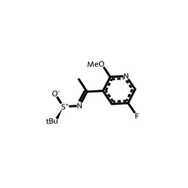 COc1ncc(F)cc1/C(C)=N/[S@+]([O-])C(C)(C)C